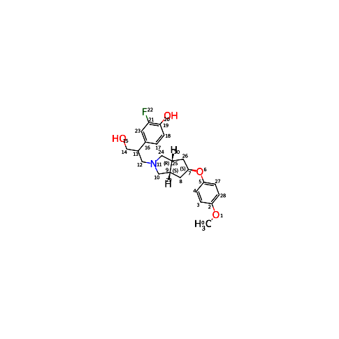 COc1ccc(O[C@H]2C[C@@H]3CN(CC(CO)c4ccc(O)c(F)c4)C[C@@H]3C2)cc1